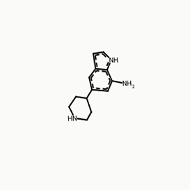 Nc1cc(C2CCNCC2)cc2cc[nH]c12